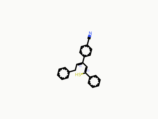 N#Cc1ccc(C(/C=C(\S)c2ccccc2)=C/Cc2ccccc2)cc1